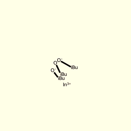 CCC(C)[O-].CCC(C)[O-].CCC(C)[O-].[In+3]